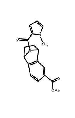 COC(=O)c1ccc2c(c1)C1CCC2N1C(=O)c1cccn1C